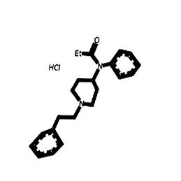 CCC(=O)N(c1ccccc1)C1CCN(CCc2ccccc2)CC1.Cl